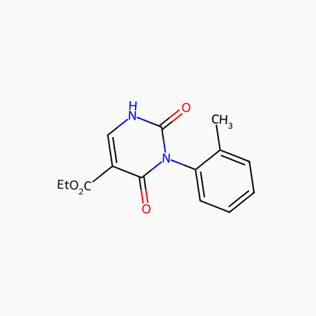 CCOC(=O)c1c[nH]c(=O)n(-c2ccccc2C)c1=O